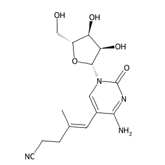 C/C(=C\c1cn([C@@H]2O[C@H](CO)[C@@H](O)[C@H]2O)c(=O)nc1N)CCC#N